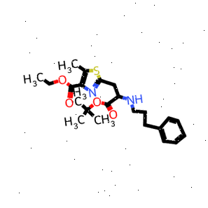 CCOC(=O)c1nc(CC(NCCCc2ccccc2)C(=O)OC(C)(C)C)sc1C